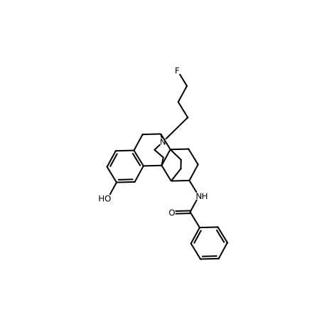 O=C(NC1CCC23CCC1C21CCN(CCCF)C3Cc2ccc(O)cc21)c1ccccc1